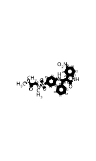 CN(C)C(=O)CN(C)S(=O)(=O)c1ccc(NC(=C2C(=O)Nc3ccc([N+](=O)[O-])cc32)c2ccccc2)cc1